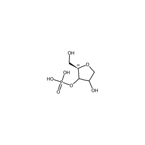 O=P(O)(O)OC1C(O)CO[C@@H]1CO